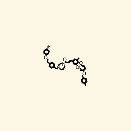 Cc1ccc(COc2ccc(Oc3c(C)cc(C=CC(=O)N4CCCN(Cc5ccc(CCOc6ccc(C(C)C)cc6)cc5)CC4)cc3Cl)nc2)cc1